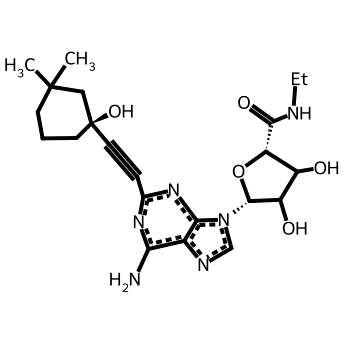 CCNC(=O)[C@H]1O[C@@H](n2cnc3c(N)nc(C#C[C@]4(O)CCCC(C)(C)C4)nc32)C(O)C1O